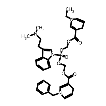 CCN1C=CCC(C(=O)OCOP(=O)(OCOC(=O)C2=CN(Cc3ccccc3)C=CC2)n2cc(CCN(C)C)c3ccccc32)=C1